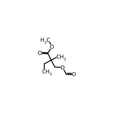 CCC(C)(COC=O)C(=O)OC